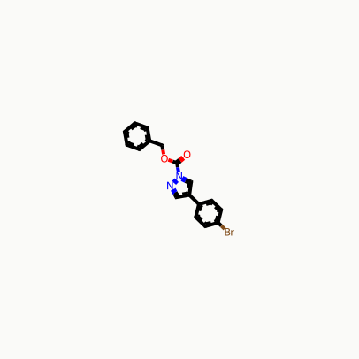 O=C(OCc1ccccc1)n1cc(-c2ccc(Br)cc2)cn1